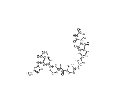 Cn1cc(Nc2nc(N3CCCC(NC(=O)C4CCN(CC5CN(c6ccc7c(c6)C(=O)N(C6CCC(=O)NC6=O)C7=O)C5)CC4)C3)cnc2C(N)=O)cn1